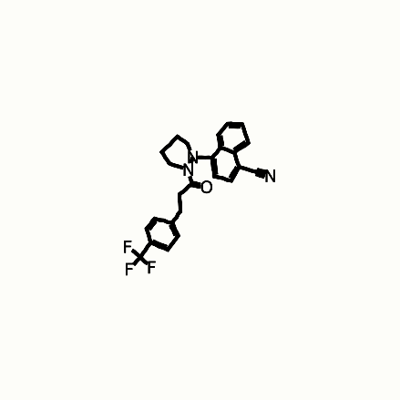 N#Cc1ccc(N2CCCCN2C(=O)CCc2ccc(C(F)(F)F)cc2)c2ccccc12